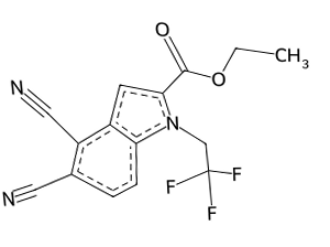 CCOC(=O)c1cc2c(C#N)c(C#N)ccc2n1CC(F)(F)F